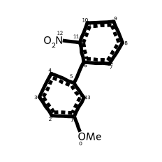 COc1cccc(-c2[c]cccc2[N+](=O)[O-])c1